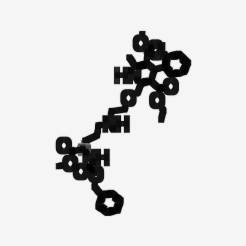 CCOC(=O)C1=C(COCCNCCC[C@H](NC(=O)OCc2ccccc2)C(=O)OC)NC(C)=C(C(=O)OC)C1c1ccccc1Cl